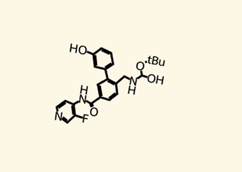 CC(C)(C)OC(O)NCc1ccc(C(=O)Nc2ccncc2F)cc1-c1cccc(O)c1